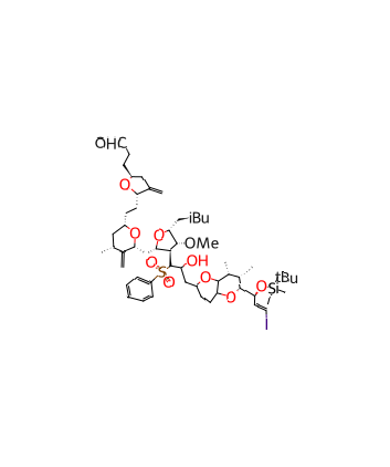 C=C1C[C@H](CCC=O)O[C@H]1CC[C@H]1C[C@@H](C)C(=C)[C@@H](C[C@@H]2O[C@H](C[C@H](C)CC)[C@H](OC)[C@H]2C(C(O)CC2CCC3O[C@@H]([C@H](/C=C/I)O[Si](C)(C)C(C)(C)C)[C@@H](C)[C@@H](C)C3O2)S(=O)(=O)c2ccccc2)O1